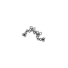 O=C(C(Cl)Cl)N(Cc1ccc(Oc2ccc([N+](=O)[O-])cc2)cc1)Cc1cccc(CN(Cc2ccc(Oc3ccc([N+](=O)[O-])cc3)cc2)C(=O)C(Cl)Cl)n1